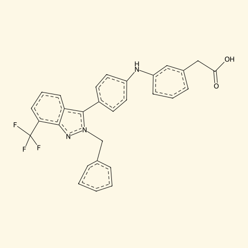 O=C(O)Cc1cccc(Nc2ccc(-c3c4cccc(C(F)(F)F)c4nn3Cc3ccccc3)cc2)c1